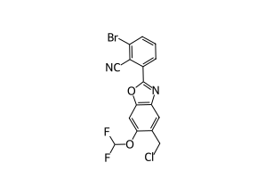 N#Cc1c(Br)cccc1-c1nc2cc(CCl)c(OC(F)F)cc2o1